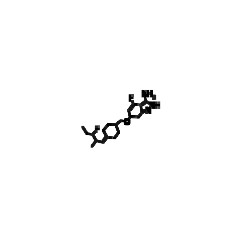 CCC(F)C(C)C=C1CCC(COc2cc(F)c3c(N)[nH]nc3c2)CC1